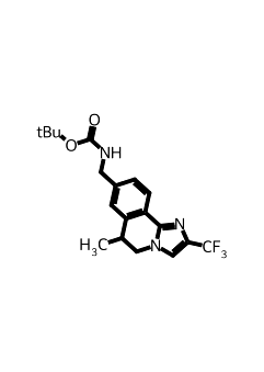 CC1Cn2cc(C(F)(F)F)nc2-c2ccc(CNC(=O)OC(C)(C)C)cc21